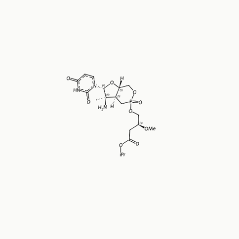 CO[C@H](COP1(=O)C[C@@H]2[C@@H](CO1)O[C@@H](n1ccc(=O)[nH]c1=O)[C@]2(C)N)CC(=O)OC(C)C